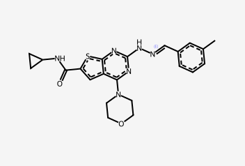 Cc1cccc(/C=N/Nc2nc(N3CCOCC3)c3cc(C(=O)NC4CC4)sc3n2)c1